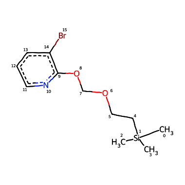 C[Si](C)(C)CCOCOc1ncccc1Br